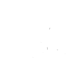 CN1C[C@@H](Oc2ccccc2Cl)C[C@H](C(=O)NO)[C@H]1C(=O)N1CCN(c2ccccc2)CC1